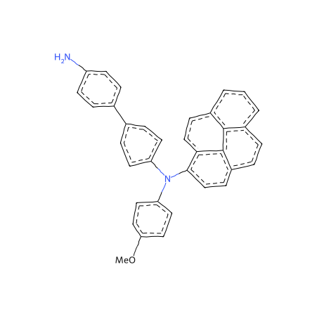 COc1ccc(N(c2ccc(-c3ccc(N)cc3)cc2)c2ccc3ccc4cccc5ccc2c3c45)cc1